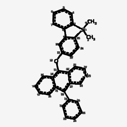 C[Si]1(C)c2ccccc2-c2cc(Oc3c4ccccc4c(-c4ccccc4)c4cnccc34)ccc21